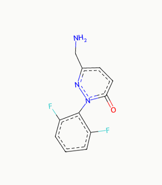 NCc1ccc(=O)n(-c2c(F)cccc2F)n1